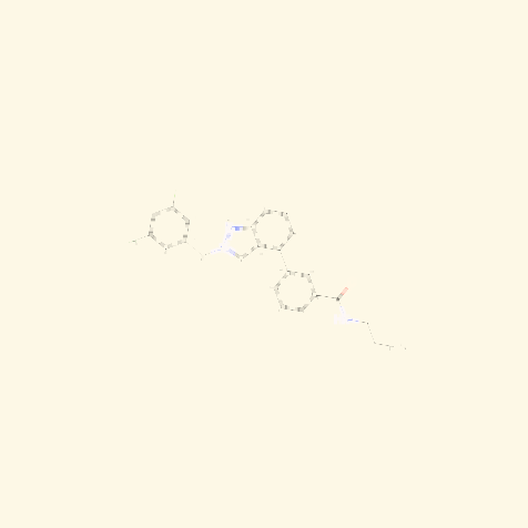 N#CCCNC(=O)c1cccc(-c2cccc3nn(Cc4cc(F)cc(Cl)c4)cc23)c1